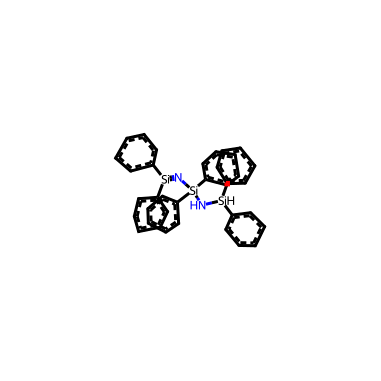 c1ccc([Si](=N[Si](N[SiH](c2ccccc2)c2ccccc2)(c2ccccc2)c2ccccc2)c2ccccc2)cc1